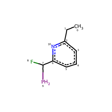 CCc1cccc(C(F)P)n1